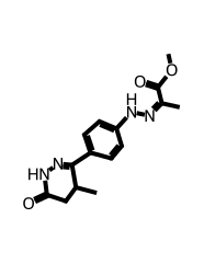 COC(=O)/C(C)=N\Nc1ccc(C2=NNC(=O)CC2C)cc1